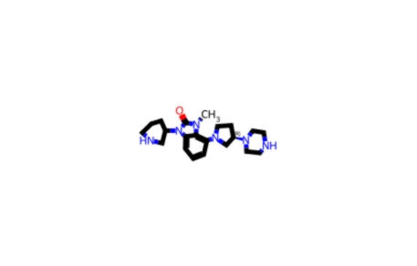 Cn1c(=O)n(C2CCCNC2)c2cccc(N3CC[C@@H](N4CCNCC4)C3)c21